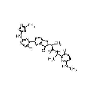 CNc1ccc(Cl)c(C(C)NC(=O)C(C)N2Cc3ccc(-c4nc(Nc5cnn(C)n5)ncc4Cl)cc3C2=O)n1